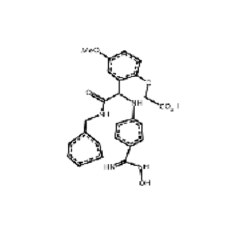 COc1ccc(OCC(=O)O)c(C(Nc2ccc(C(=N)NO)cc2)C(=O)NCc2ccccc2)c1